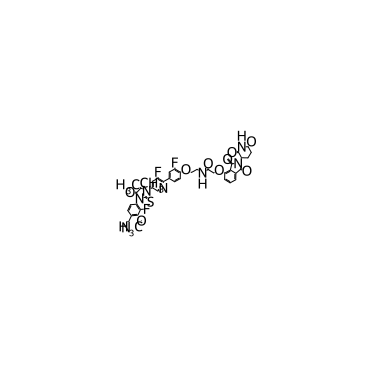 COc1c(C#N)ccc(N2C(=O)C(C)(C)N(c3cnc(-c4ccc(OCCNC(=O)COc5cccc6c5C(=O)N(C5CCC(=O)NC5=O)C6=O)c(F)c4)c(F)c3)C2=S)c1F